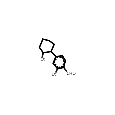 CCc1cc(C2CCCCC2CC)ccc1C=O